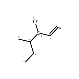 C=C[S+]([O-])C(C)CC